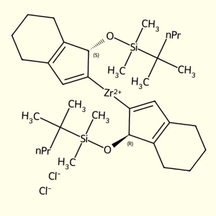 CCCC(C)(C)[Si](C)(C)O[C@@H]1[C]([Zr+2][C]2=CC3=C(CCCC3)[C@H]2O[Si](C)(C)C(C)(C)CCC)=CC2=C1CCCC2.[Cl-].[Cl-]